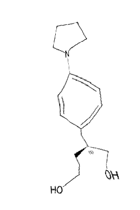 OCC[C@H](CO)c1ccc(N2CCCC2)cc1